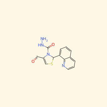 NNC(=O)N1C([C]=O)=CSC1c1cccc2cccnc12